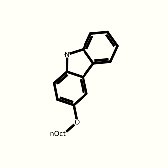 CCCCCCCCOc1ccc2c(c1)-c1ccccc1[N]2